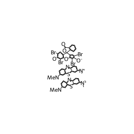 CNc1ccc2nc3ccc(=[N+](C)C)cc-3sc2c1.CNc1ccc2nc3ccc(=[N+](C)C)cc-3sc2c1.O=C1OC2(c3ccccc31)c1cc(Br)c([O-])c(Br)c1Oc1c2cc(Br)c([O-])c1Br